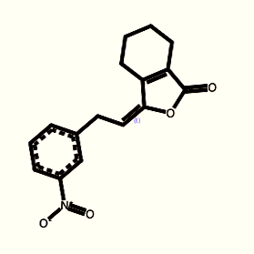 O=C1O/C(=C/Cc2cccc([N+](=O)[O-])c2)C2=C1CCCC2